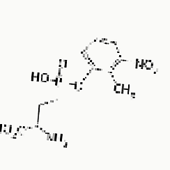 Cc1c(OP(=O)(O)CCC(N)C(=O)O)cccc1[N+](=O)[O-]